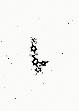 Cc1cc(-c2cc(C(=O)Nc3ccc(OC(F)(F)Cl)cc3)ccc2N2C[C@H](C)[C@@H](O)C2)[nH]n1